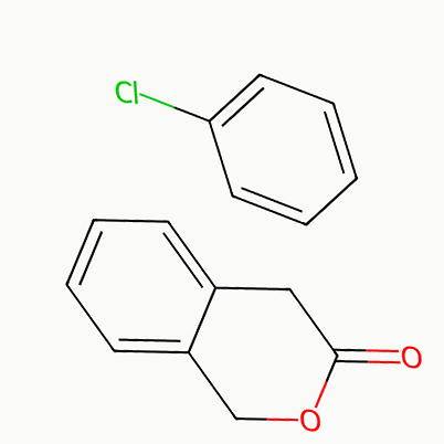 Clc1ccccc1.O=C1Cc2ccccc2CO1